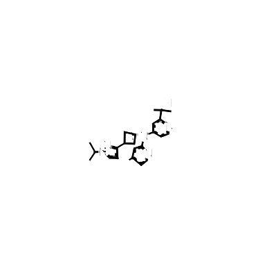 CC(C)n1cc(Oc2ccnc(Nc3ccnc(C(C)(C)O)c3)c2)c(C2CCC2)n1